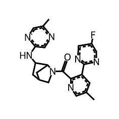 Cc1cnc(C(=O)N2CC3CC(Nc4cnc(C)cn4)C2C3)c(-c2ncc(F)cn2)c1